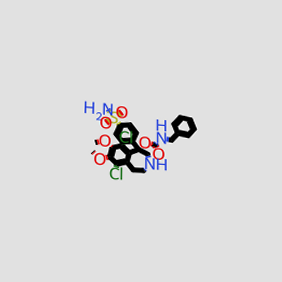 COc1c(Cl)c2c(c(Cl)c1OC)C(OC(=O)NCc1ccccc1)(c1ccc(S(N)(=O)=O)cc1)CNCC2